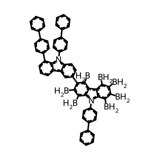 Bc1c(B)c(B)c2c(c1B)c1c(B)c(-c3ccc4c(c3)c3cccc(-c5ccc(-c6ccccc6)cc5)c3n4-c3ccc(-c4ccccc4)cc3)c(B)c(B)c1n2-c1ccc(-c2ccccc2)cc1